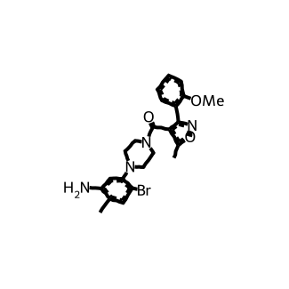 COc1ccccc1-c1noc(C)c1C(=O)N1CCN(c2cc(N)c(C)cc2Br)CC1